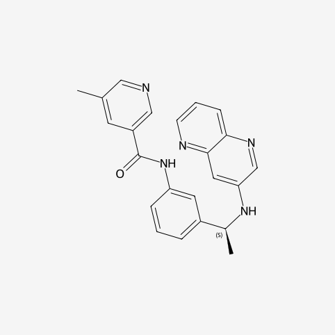 Cc1cncc(C(=O)Nc2cccc([C@H](C)Nc3cnc4cccnc4c3)c2)c1